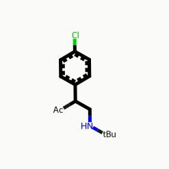 CC(=O)C(CNC(C)(C)C)c1ccc(Cl)cc1